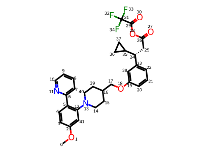 COc1ccc(-c2ccccn2)c(N2CCC(COc3cccc([C@@H](CC(=O)OC(=O)C(F)(F)F)C4CC4)c3)CC2)c1